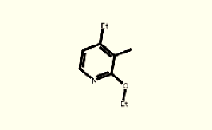 CCOc1nccc(CC)c1C